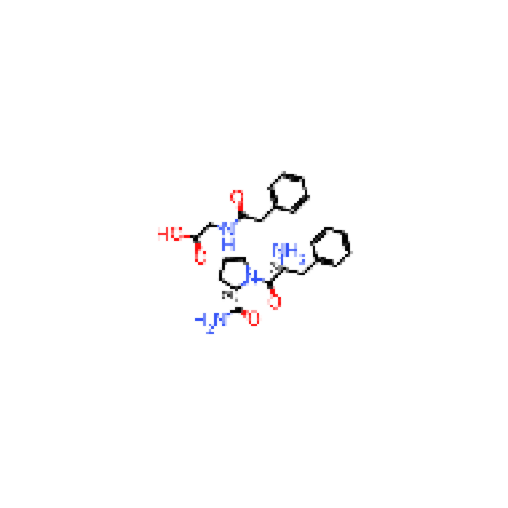 NC(=O)[C@@H]1CCCN1C(=O)[C@@H](N)Cc1ccccc1.O=C(O)CNC(=O)Cc1ccccc1